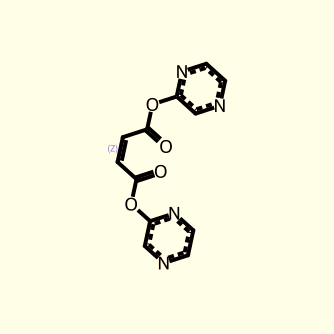 O=C(/C=C\C(=O)Oc1cnccn1)Oc1cnccn1